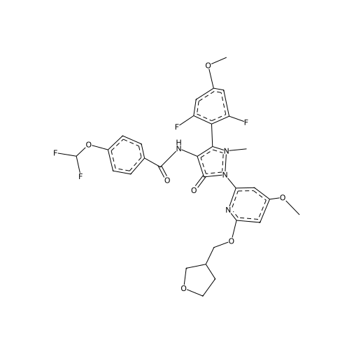 COc1cc(OCC2CCOC2)nc(-n2c(=O)c(NC(=O)c3ccc(OC(F)F)cc3)c(-c3c(F)cc(OC)cc3F)n2C)c1